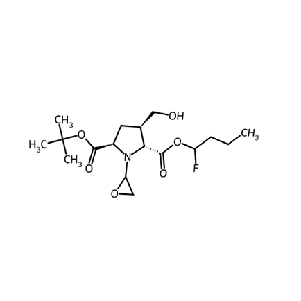 CCCC(F)OC(=O)[C@H]1[C@H](CO)C[C@H](C(=O)OC(C)(C)C)N1C1CO1